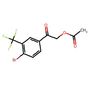 CC(=O)OCC(=O)c1ccc(Br)c(C(F)(F)F)c1